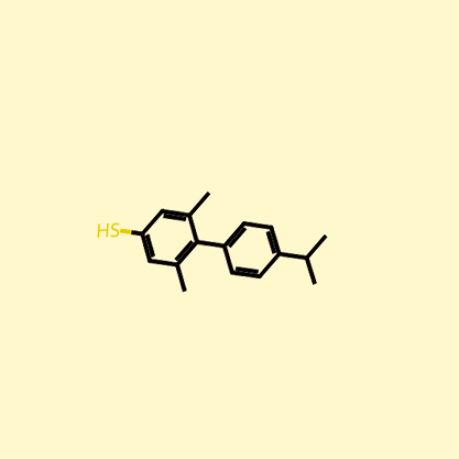 Cc1cc(S)cc(C)c1-c1ccc(C(C)C)cc1